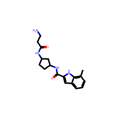 Cc1cccc2cc(C(=O)NC3CCC(NC(=O)CCN)C3)[nH]c12